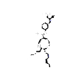 BCCCCc1nccc(C(O)NC2C=C(/C=C(\C=N)C(F)(F)F)CCC2)cccnc1C/C=C\C=C/CC